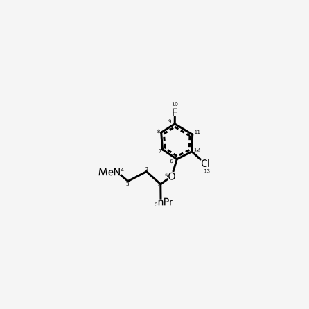 CCCC(CCNC)Oc1ccc(F)cc1Cl